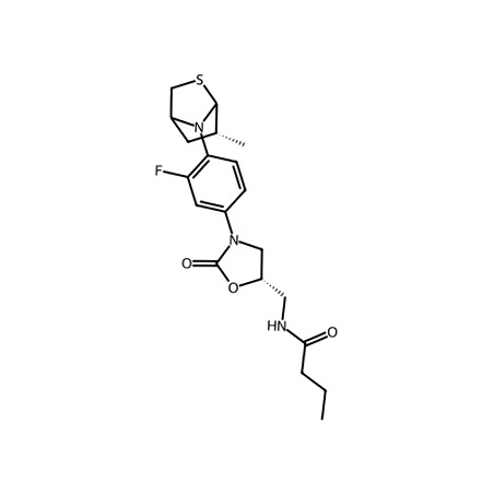 CCCC(=O)NC[C@H]1CN(c2ccc(N3C4CSC3[C@H](C)C4)c(F)c2)C(=O)O1